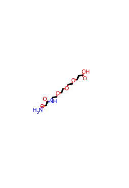 NOCC(=O)NCCOCCOCCOCCC(=O)O